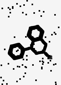 CCN1Cc2ccccc2C(c2ccccc2)C1